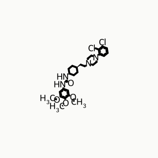 COc1cc(NC(=O)N[C@H]2CC[C@H](CCN3CCN(c4cccc(Cl)c4Cl)CC3)CC2)cc(OC)c1OC